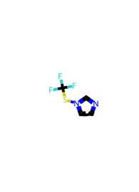 FC(F)(F)Sn1ccnc1